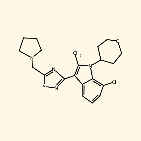 Cc1c(-c2nsc(CN3CCCC3)n2)c2cccc(Cl)c2n1C1CCOCC1